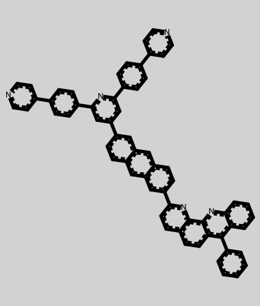 c1ccc(-c2c3ccccc3nc3c2ccc2ccc(-c4ccc5cc6cc(-c7cc(-c8ccc(-c9ccncc9)cc8)nc(-c8ccc(-c9ccncc9)cc8)c7)ccc6cc5c4)nc23)cc1